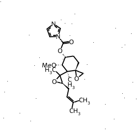 CO[C@@H]1[C@H](OC(=O)n2ccnc2)CC[C@]2(CO2)[C@@]1(C)C1(C)O[C@@H]1CC=C(C)C